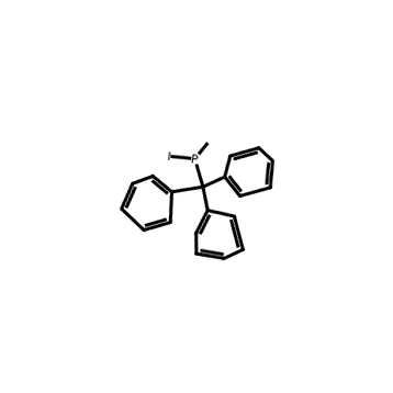 CP(I)C(c1ccccc1)(c1ccccc1)c1ccccc1